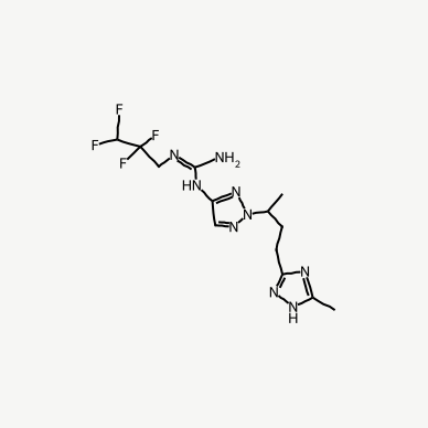 Cc1nc(CCC(C)n2ncc(N/C(N)=N\CC(F)(F)C(F)F)n2)n[nH]1